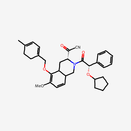 COC1=C(OCC2=CC=C(C)CC2)C2C[C@H](C(=O)C#N)N(C(=O)[C@@H](OC3CCCC3)c3ccccc3)CC2C=C1